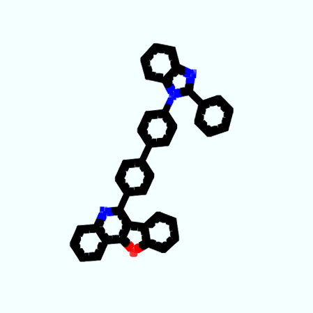 c1ccc(-c2nc3ccccc3n2-c2ccc(-c3ccc(-c4nc5ccccc5c5oc6ccccc6c45)cc3)cc2)cc1